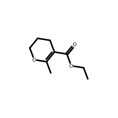 CCOC(=O)C1=C(C)OCCC1